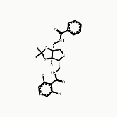 CC1(C)O[C@@H]2[C@@H](CNC(=O)c3c(Cl)cncc3Cl)OC[C@]2(CNC(=O)c2ccccc2)O1